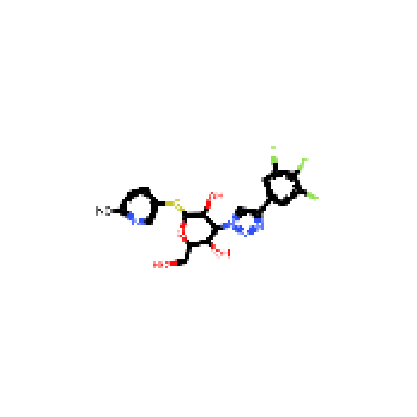 N#Cc1ccc(SC2OC(CO)C(O)C(n3cc(-c4cc(F)c(F)c(F)c4)nn3)C2O)cn1